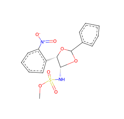 COS(=O)(=O)N[C@H]1OC(c2ccccc2)O[C@H]1c1ccccc1[N+](=O)[O-]